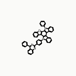 c1ccc(-c2nc(-c3ccc(-n4c5ccccc5c5c6c7ccccc7n(-c7ccccc7)c6c6oc7ccccc7c6c54)cc3)nc3ccccc23)cc1